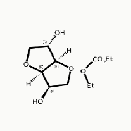 CCOC(=O)OCC.O[C@@H]1CO[C@H]2[C@@H]1OC[C@@H]2O